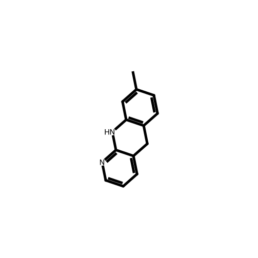 Cc1ccc2c(c1)Nc1ncccc1C2